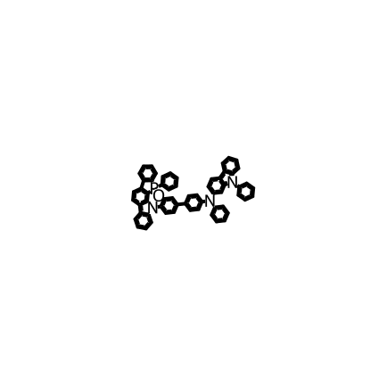 O=P1(c2ccccc2)c2ccccc2-c2ccc3c4ccccc4n(-c4ccc(-c5ccc(N(c6ccccc6)c6ccc7c8ccccc8n(-c8ccccc8)c7c6)cc5)cc4)c3c21